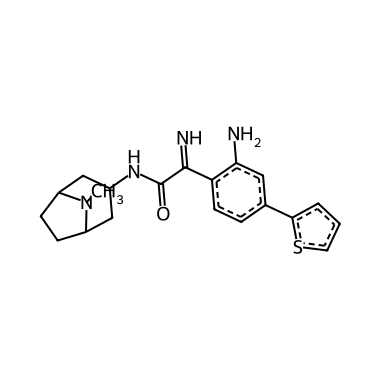 CN1C2CCC1CC(NC(=O)C(=N)c1ccc(-c3cccs3)cc1N)C2